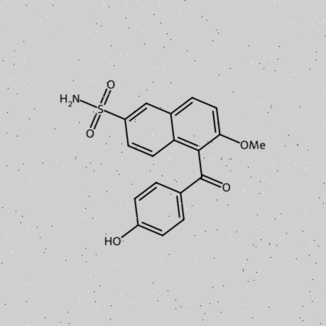 COc1ccc2cc(S(N)(=O)=O)ccc2c1C(=O)c1ccc(O)cc1